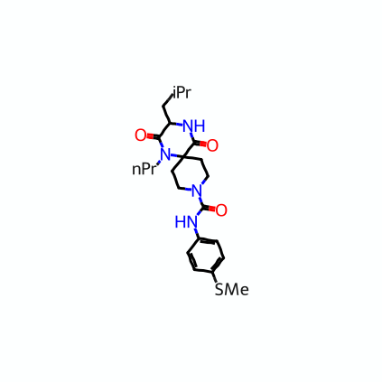 CCCN1C(=O)C(CC(C)C)NC(=O)C12CCN(C(=O)Nc1ccc(SC)cc1)CC2